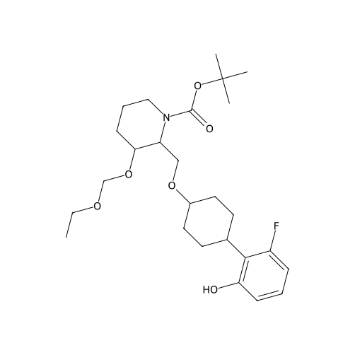 CCOCOC1CCCN(C(=O)OC(C)(C)C)C1COC1CCC(c2c(O)cccc2F)CC1